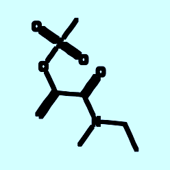 C=C(OS(C)(=O)=O)C(=O)N(C)CC